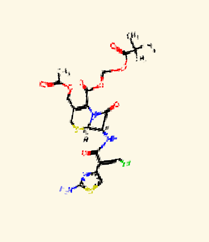 CC(=O)OCC1=C(C(=O)OCOC(=O)C(C)(C)C)N2C(=O)[C@@H](NC(=O)C(=CCl)c3csc(N)n3)[C@H]2SC1